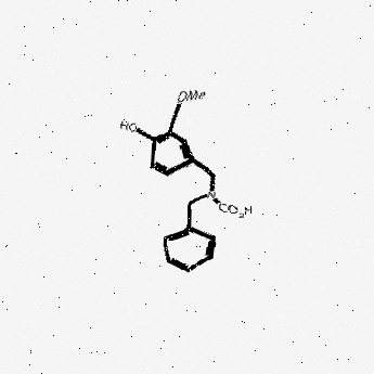 COc1cc(CN(Cc2ccccc2)C(=O)O)ccc1O